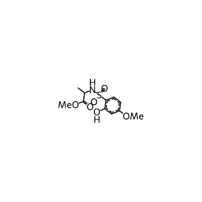 COC(=O)C(C)NS(=O)(=O)c1ccc(OC)cc1O